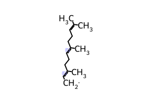 [CH2]/C=C(\C)CC/C=C(\C)CCC=C(C)C